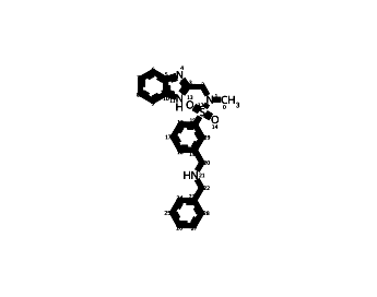 CN(Cc1nc2ccccc2[nH]1)S(=O)(=O)c1cccc(CNCc2ccccc2)c1